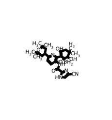 BC1(O)C(c2nc(C3CC(C)(C)OC(C)(C)C3)ccc2NC(=O)c2nc(C#N)c[nH]2)=C(O)CC(C)(C)C1O